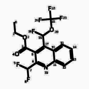 CCOC(=O)c1c(C(F)F)nc2ccccc2c1C(F)OC(F)(F)F